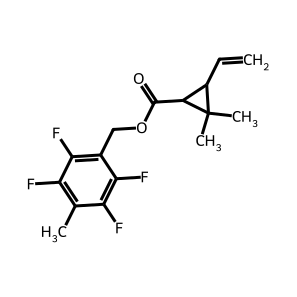 C=CC1C(C(=O)OCc2c(F)c(F)c(C)c(F)c2F)C1(C)C